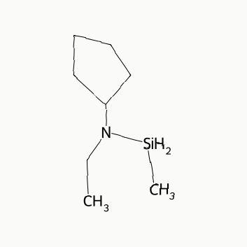 CCN([SiH2]C)C1CCCC1